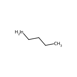 CCC[CH2][InH2]